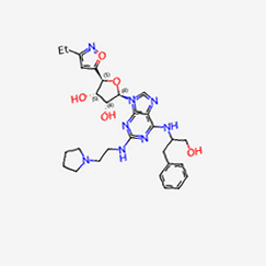 CCc1cc([C@H]2O[C@@H](n3cnc4c(NC(CO)Cc5ccccc5)nc(NCCN5CCCC5)nc43)[C@H](O)[C@@H]2O)on1